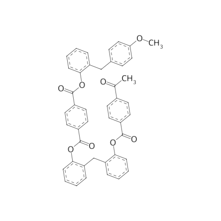 COc1ccc(Cc2ccccc2OC(=O)c2ccc(C(=O)Oc3ccccc3Cc3ccccc3OC(=O)c3ccc(C(C)=O)cc3)cc2)cc1